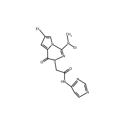 CCc1cc2c(=O)n(CC(=O)Nc3ccncn3)nc(N(C)CC)n2c1